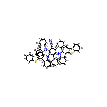 N#Cc1c(-c2ccccc2)c(-n2c3ccccc3c3c4sc5ccccc5c4ccc32)c(-c2ccccc2)c(-n2c3ccccc3c3c4sc5ccccc5c4ccc32)c1-n1c2ccccc2c2ccccc21